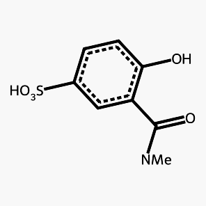 CNC(=O)c1cc(S(=O)(=O)O)ccc1O